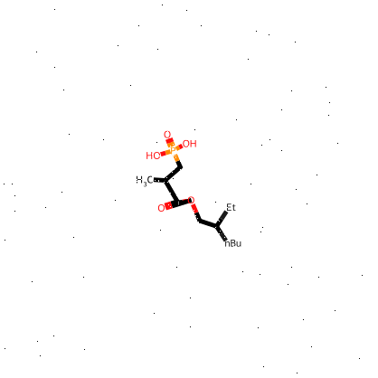 CCCCC(CC)COC(=O)C(C)CP(=O)(O)O